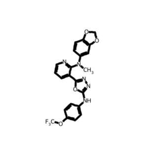 CN(c1ccc2c(c1)OCO2)c1ncccc1-c1nnc(Nc2ccc(OC(F)(F)F)cc2)o1